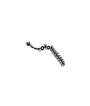 CCC1(COCCCCCCOc2ccc(C(=O)Oc3ccc(OC(F)(F)C(F)(F)C(F)(F)C(F)(F)C(F)(F)C(F)(F)C(F)(F)C(F)(F)C(F)(F)C(F)(F)C(F)(F)F)cc3)cc2)COC1